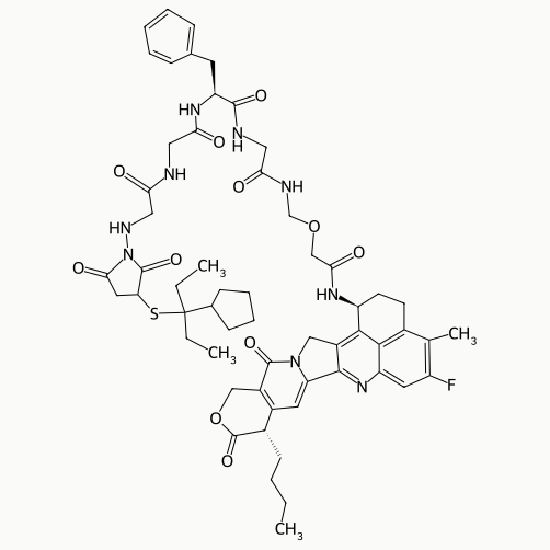 CCCC[C@@H]1C(=O)OCc2c1cc1n(c2=O)Cc2c-1nc1cc(F)c(C)c3c1c2[C@@H](NC(=O)COCNC(=O)CNC(=O)[C@H](Cc1ccccc1)NC(=O)CNC(=O)CNN1C(=O)CC(SC(CC)(CC)C2CCCC2)C1=O)CC3